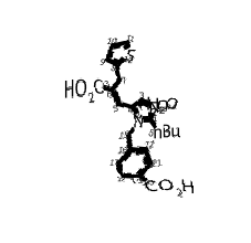 CCCCc1ncc(C=C(Cc2cccs2)C(=O)O)n1Cc1ccc(C(=O)O)cc1.O.O